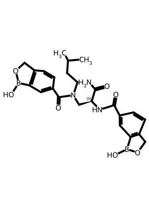 CC(C)CCN(C[C@H](NC(=O)c1ccc2c(c1)B(O)OC2)C(N)=O)C(=O)c1ccc2c(c1)B(O)OC2